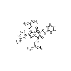 CC(C)=CCn1c(N2CCCC(N)C2)nc2c1c(=O)n(CCc1ccccc1)c(=O)n2CCN(C)C